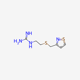 N=C(N)NCCSCc1ccsn1